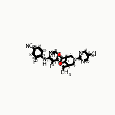 CC1OC(C)C2CN(c3ncc(Cl)cn3)CC1C2Oc1ncnc(Nc2ccc(C#N)cc2F)c1F